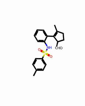 CC1=C(c2ccccc2NS(=O)(=O)c2ccc(C)cc2)C(C=O)CC1